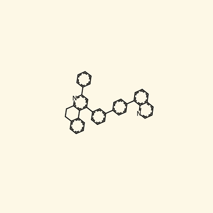 c1ccc(-c2cc(-c3cccc(-c4ccc(-c5cccc6cccnc56)cc4)c3)c3c(n2)CCc2ccccc2-3)cc1